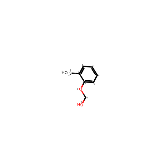 O=S(=O)(O)c1ccccc1OCO